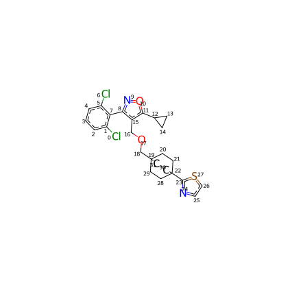 Clc1cccc(Cl)c1-c1noc(C2CC2)c1COCC12CCC(c3nccs3)(CC1)CC2